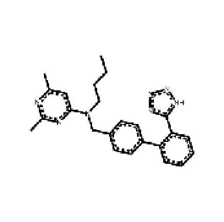 CCCCN(Cc1ccc(-c2ccccc2-c2nnn[nH]2)cc1)c1cc(C)nc(C)n1